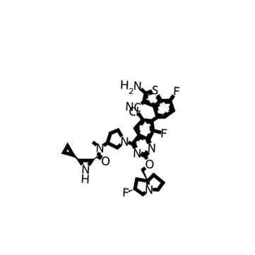 CN(C(=O)[C@@H]1N[C@H]1C1CC1)C1CCN(c2nc(OC[C@@]34CCCN3C[C@H](F)C4)nc3c(F)c(-c4ccc(F)c5sc(N)c(C#N)c45)c(Cl)cc23)C1